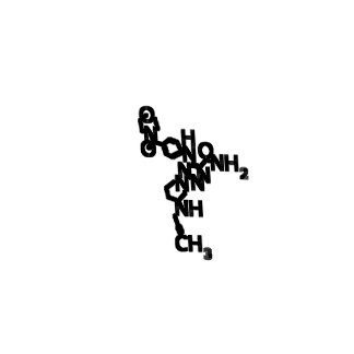 CC#CCNC1CCCN(c2nnc(C(N)=O)c(Nc3ccc(C(=O)N4CCOCC4)cc3)n2)C1